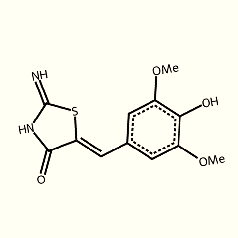 COc1cc(/C=C2\SC(=N)NC2=O)cc(OC)c1O